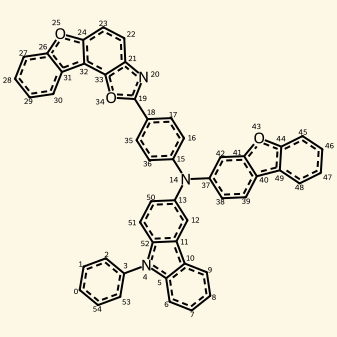 c1ccc(-n2c3ccccc3c3cc(N(c4ccc(-c5nc6ccc7oc8ccccc8c7c6o5)cc4)c4ccc5c(c4)oc4ccccc45)ccc32)cc1